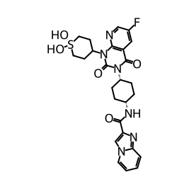 O=C(N[C@H]1CC[C@@H](n2c(=O)c3cc(F)cnc3n(C3CCS(O)(O)CC3)c2=O)CC1)c1cn2ccccc2n1